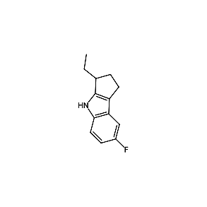 CCC1CCc2c1[nH]c1ccc(F)cc21